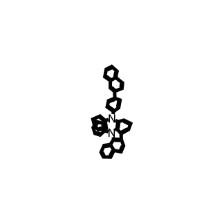 c1ccc(N(c2ccc(-c3ccc4ccccc4c3)cc2)c2cccc3c4ccc5ccccc5c4n(-c4ccccc4)c23)cc1